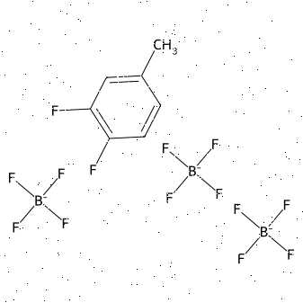 Cc1ccc(F)c(F)c1.F[B-](F)(F)F.F[B-](F)(F)F.F[B-](F)(F)F